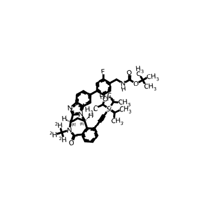 [2H]C([2H])([2H])N1C(=O)c2cccc(C#C[Si](C(C)C)(C(C)C)C(C)C)c2[C@H]2C[C@@H]1c1nc3ccc(-c4ccc(CNC(=O)OC(C)(C)C)c(F)c4)cc3n12